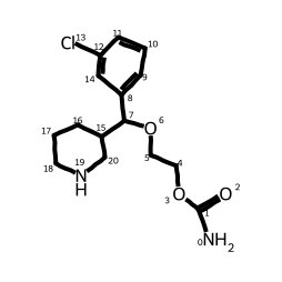 NC(=O)OCCOC(c1cccc(Cl)c1)C1CCCNC1